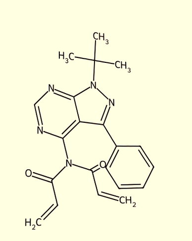 C=CC(=O)N(C(=O)C=C)c1ncnc2c1c(-c1ccccc1)nn2C(C)(C)C